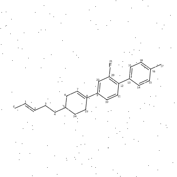 CC=CCCC1CC=C(c2ccc(-c3ccc(C)cc3)c(F)c2)CC1